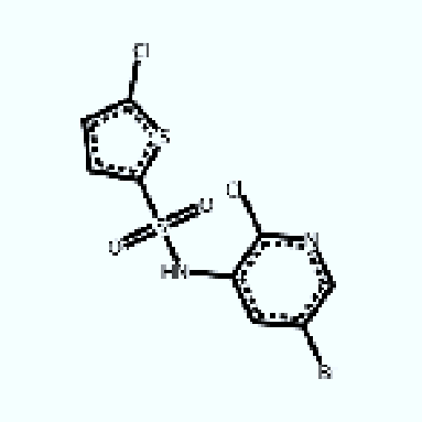 O=S(=O)(Nc1cc(Br)cnc1Cl)c1ccc(Cl)s1